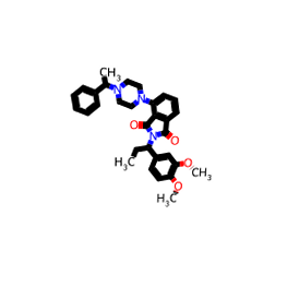 CCC(c1ccc(OC)c(OC)c1)N1C(=O)c2cccc(N3CCN(C(C)c4ccccc4)CC3)c2C1=O